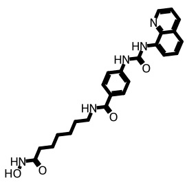 O=C(CCCCCCNC(=O)c1ccc(NC(=O)Nc2cccc3cccnc23)cc1)NO